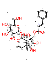 O=C(/C=C/c1ccccc1)OC[C@]1(O)[C@H]2[C@H](O[C@@H]3O[C@H](CO)[C@@H](O)[C@H](O)[C@H]3O)OC=C[C@H]2[C@H](O)[C@@H]1O